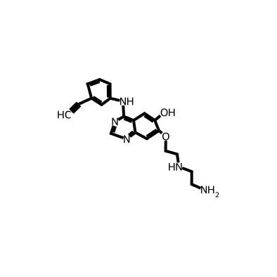 C#Cc1cccc(Nc2ncnc3cc(OCCNCCN)c(O)cc23)c1